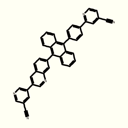 N#Cc1cncc(-c2cnc3cc(-c4c5ccccc5c(-c5ccc(-c6cc(C#N)ccn6)cc5)c5ccccc45)ccc3c2)c1